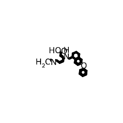 C=C/N=C/C=C\C(=C\C(=O)O)NCC1CCCc2cc(Oc3ccccc3)ccc21